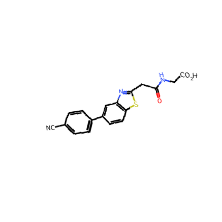 N#Cc1ccc(-c2ccc3sc(CC(=O)NCC(=O)O)nc3c2)cc1